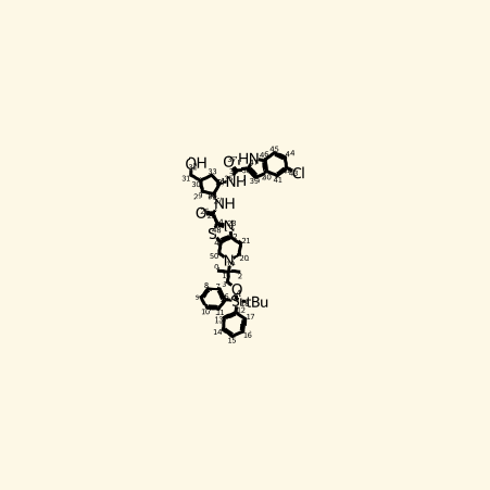 CC(C)(CO[Si](c1ccccc1)(c1ccccc1)C(C)(C)C)N1CCc2nc(C(=O)N[C@@H]3CC(CO)C[C@H]3NC(=O)c3cc4cc(Cl)ccc4[nH]3)sc2C1